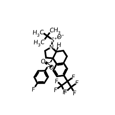 CC(C)(C)[S@+]([O-])N1CC[C@@]2(S(=O)(=O)c3ccc(F)cc3)c3ccc(C(F)(C(F)(F)F)C(F)(F)F)cc3CC[C@@H]12